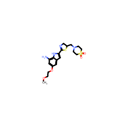 COCCOc1cc(N)c2[nH]c(C3=NCC(CN4CCS(=O)(=O)CC4)S3)cc2c1